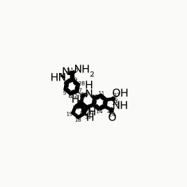 Nc1n[nH]c2ccc([C@@H]3Nc4cc5c(cc4[C@H]4[C@@H]6CCC(C6)[C@H]43)C(=O)NC5O)cc12